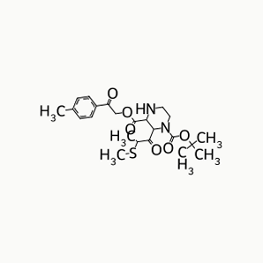 CSC(C)C(=O)C1C(C(=O)OCC(=O)c2ccc(C)cc2)NCCN1C(=O)OC(C)(C)C